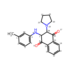 Cc1cccc(NC2C(=O)c3ccccc3C(=O)C2N2CCCC2)c1